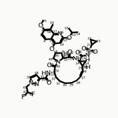 COc1ccc2c(O[C@@H]3C[C@H]4C(=O)N[C@]5(C(=O)NS(=O)(=O)C6CC6)C[C@H]5C=CCCCCC[C@H](NC(=O)c5ccn(CC(F)F)n5)C(=O)N4C3)cc(OC(C)C)nc2c1C